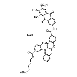 CCCCCCCCCCCCCCOC(=O)c1ccc(OC)c(NC(=O)C(Cc2ccccc2)Oc2ccc(C(=O)Nc3ccc4c(c3)C(=O)c3c(cc(S(=O)(=O)O)c(O)c3O)C4=O)cc2)c1.[NaH]